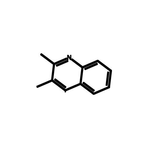 Cc1[c]c2ccccc2nc1C